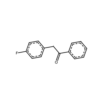 O=C([CH]c1ccc(F)cc1)c1ccccc1